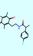 CC1=C(C)C(=O)C(CCNC(=O)C(C)c2ccc(F)cc2)=C(C)C1=O